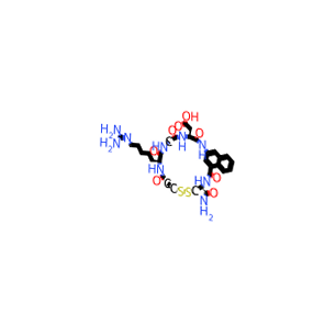 NC(=O)[C@@H]1CSSCCC(=O)N[C@@H](CCCCCN=C(N)N)C(=O)NCC(=O)N[C@@H](CC(=O)O)C(=O)Nc2cc(c3ccccc3c2)C(=O)N1